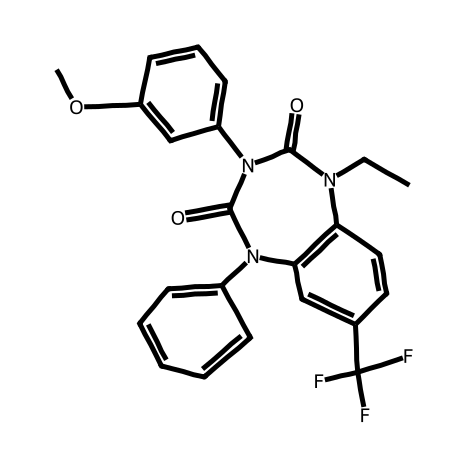 CCN1C(=O)N(c2cccc(OC)c2)C(=O)N(c2ccccc2)c2cc(C(F)(F)F)ccc21